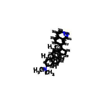 CN(C)[C@@H]1CC[C@@]2(C)[C@@H](CC[C@@H]3[C@@H]2CC[C@]2(C)C(c4ccc5ccncc5c4)CC[C@@H]32)C1